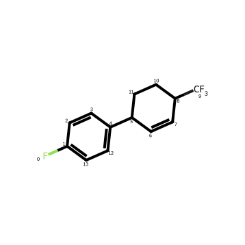 Fc1ccc(C2C=CC(C(F)(F)F)CC2)cc1